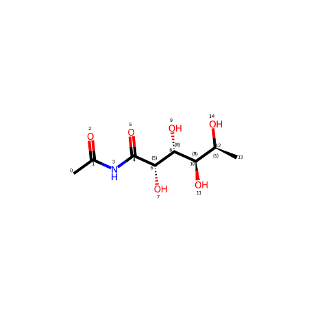 CC(=O)NC(=O)[C@@H](O)[C@H](O)[C@H](O)[C@H](C)O